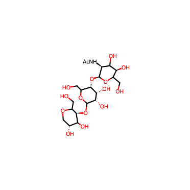 CC(=O)N[C@H]1C(O)[C@@H](O)C(CO)O[C@H]1O[C@H]1C(CO)OC(O[C@@H]2C(CO)OC[C@@H](O)C2O)[C@@H](O)[C@H]1O